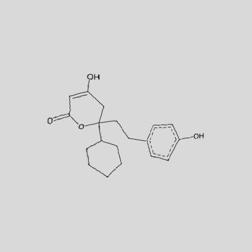 O=C1C=C(O)CC(CCc2ccc(O)cc2)(C2CCCCC2)O1